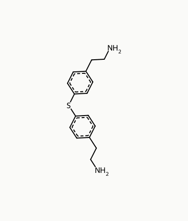 NCCc1ccc(Sc2ccc(CCN)cc2)cc1